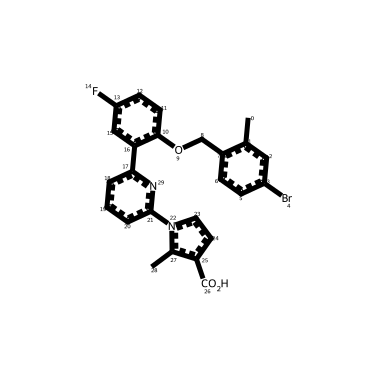 Cc1cc(Br)ccc1COc1ccc(F)cc1-c1cccc(-n2ccc(C(=O)O)c2C)n1